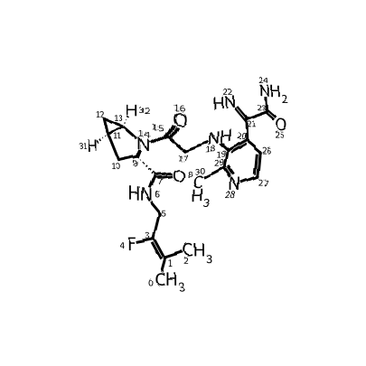 CC(C)=C(F)CNC(=O)[C@@H]1C[C@H]2C[C@H]2N1C(=O)CNc1c(C(=N)C(N)=O)ccnc1C